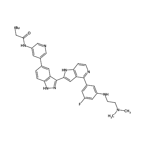 CN(C)CCNc1cc(F)cc(-c2nccc3[nH]c(-c4n[nH]c5ccc(-c6cncc(NC(=O)CC(C)(C)C)c6)cc45)cc23)c1